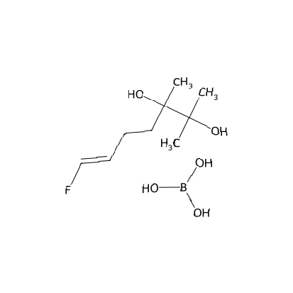 CC(C)(O)C(C)(O)CCC=CF.OB(O)O